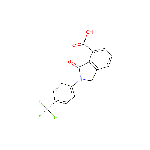 O=C(O)c1cccc2c1C(=O)N(c1ccc(C(F)(F)F)cc1)C2